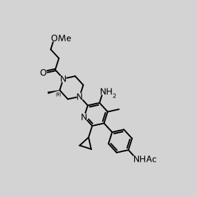 COCCC(=O)N1CCN(c2nc(C3CC3)c(-c3ccc(NC(C)=O)cc3)c(C)c2N)C[C@H]1C